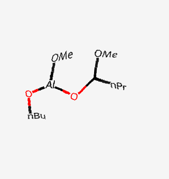 CCCC[O][Al]([O]C)[O]C(CCC)OC